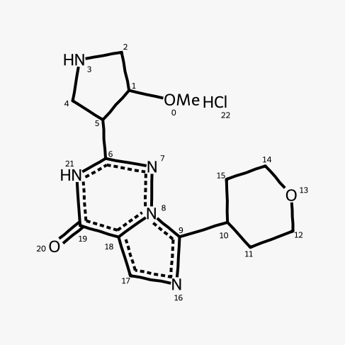 COC1CNCC1c1nn2c(C3CCOCC3)ncc2c(=O)[nH]1.Cl